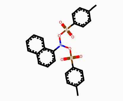 Cc1ccc(S(=O)(=O)ON(OS(=O)(=O)c2ccc(C)cc2)c2cccc3ccccc23)cc1